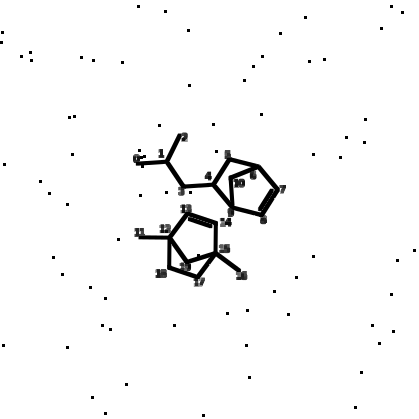 CC(C)CC1CC2C=CC1C2.CC12C=CC(C)(CC1)C2